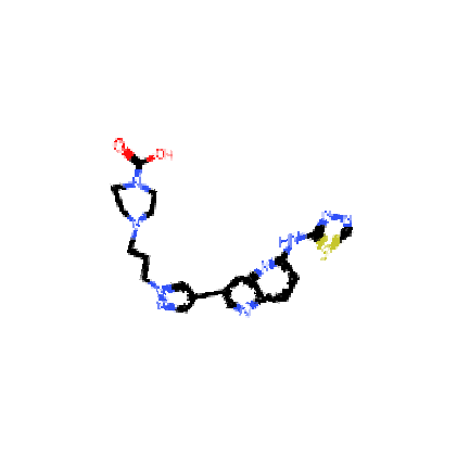 O=C(O)N1CCN(CCCn2cc(-c3cnc4ccc(Nc5nncs5)nc4c3)cn2)CC1